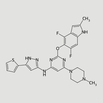 Cc1cc2c(F)c(Oc3nc(Nc4cc(-c5cccs5)[nH]n4)cc(N4CCN(C)CC4)n3)c(F)cc2[nH]1